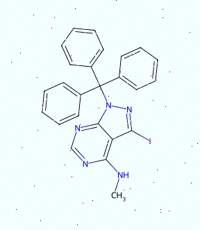 CNc1ncnc2c1c(I)nn2C(c1ccccc1)(c1ccccc1)c1ccccc1